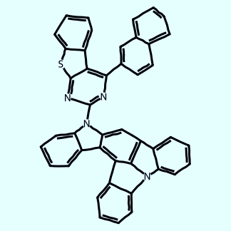 c1ccc2cc(-c3nc(-n4c5ccccc5c5c6c7ccccc7n7c8ccccc8c(cc54)c67)nc4sc5ccccc5c34)ccc2c1